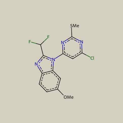 COc1ccc2nc(C(F)F)n(-c3cc(Cl)nc(SC)n3)c2c1